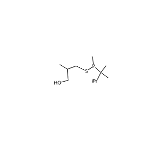 CC(CO)CSP(C)C(C)(C)C(C)C